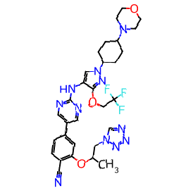 CC(Cn1cnnn1)Oc1cc(-c2cnc(Nc3cn(C4CCC(N5CCOCC5)CC4)nc3OCC(F)(F)F)nc2)ccc1C#N